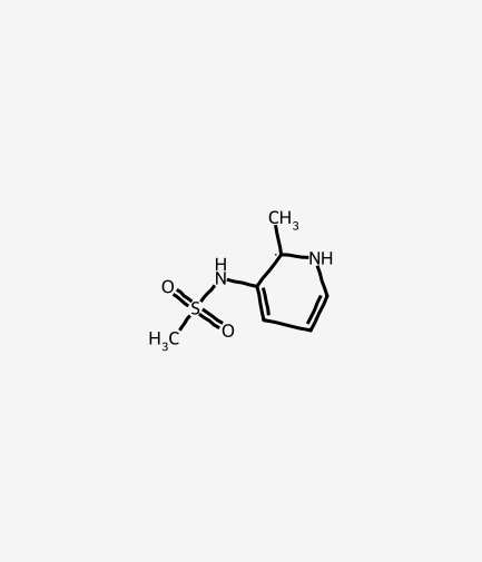 C[C]1NC=CC=C1NS(C)(=O)=O